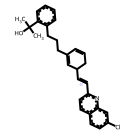 CC(C)(O)c1ccccc1CCCC1=CC(/C=C/c2ccc3ccc(Cl)cc3n2)CC=C1